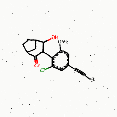 CCC#Cc1cc(Cl)c(C2C(=O)C3CCC(C3)C2O)c(OC)c1